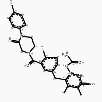 Cc1c(C)c(=O)[nH][n+](OC(=O)C(F)(F)F)c1Cc1ccc(F)c(C(=O)N2CCN(c3ccc(F)cc3)C(=O)C2)c1